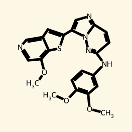 COc1ccc(Nc2ccc3ncc(-c4cc5cncc(OC)c5s4)n3n2)cc1OC